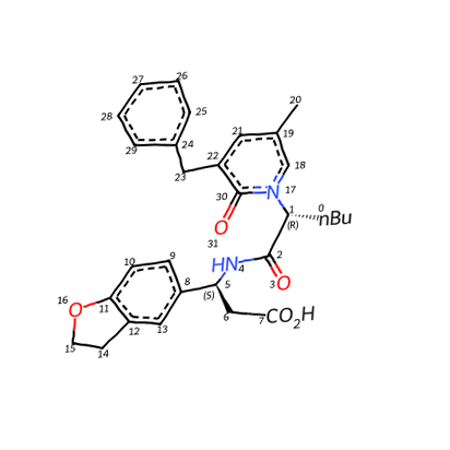 CCCC[C@H](C(=O)N[C@@H](CC(=O)O)c1ccc2c(c1)CCO2)n1cc(C)cc(Cc2ccccc2)c1=O